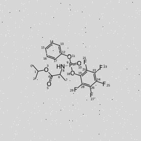 CC(C)OC(=O)C(C)N[P@@](=O)(Oc1ccccc1)Oc1c(F)c(F)c(F)c(F)c1F